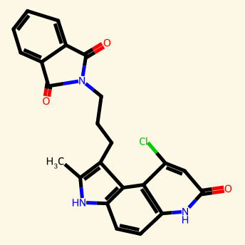 Cc1[nH]c2ccc3[nH]c(=O)cc(Cl)c3c2c1CCCN1C(=O)c2ccccc2C1=O